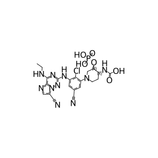 CCNc1nc(Nc2cc(C#N)cc(N3CC[C@@H](NC(=O)O)[C@H](OP(=O)(O)O)C3)c2Cl)nn2c(C#N)cnc12